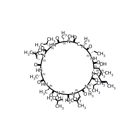 C/C=C/C[C@@H](C)[C@@H](O)[C@H]1C(=O)N[C@@H](CC)C(=O)N(C)CC(=O)N(C)[C@@H](C)C(=O)N[C@@H](C(C)C)C(=O)N(C)[C@@H](CC(C)C)C(=O)N[C@@H](C)C(=O)N[C@H](C)C(=O)N(C)[C@@H](CC(C)C)C(=O)N(C)[C@H](CC(C)C)C(=O)N(C)[C@@H](C(C)C)C(=O)N1C